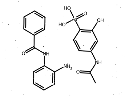 CC(=O)Nc1ccc([As](=O)(O)O)c(O)c1.Nc1ccccc1NC(=O)c1ccccc1